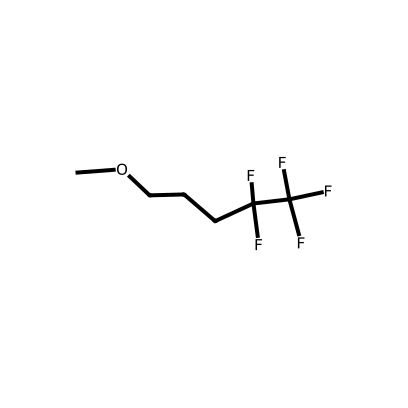 COCCCC(F)(F)C(F)(F)F